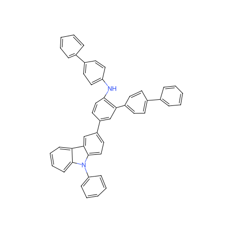 c1ccc(-c2ccc(Nc3ccc(-c4ccc5c(c4)c4ccccc4n5-c4ccccc4)cc3-c3ccc(-c4ccccc4)cc3)cc2)cc1